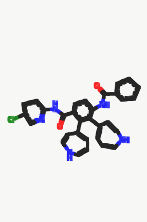 O=C(Nc1ccc(C(=O)Nc2ccc(Cl)cn2)c(C2=CC=CNC=C2)c1C1=CC=CNC=C1)c1ccccc1